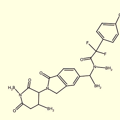 BC1CC(=O)N(B)C(=O)C1N1Cc2cc(C(B)N(B)C(=O)C(F)(F)c3ccc(Cl)cc3)ccc2C1=O